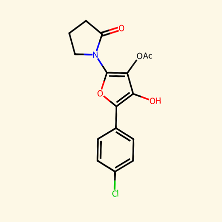 CC(=O)Oc1c(N2CCCC2=O)oc(-c2ccc(Cl)cc2)c1O